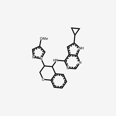 COc1cnn(C2COc3ccccc3C2Nc2ncnc3[nH]c(C4CC4)cc23)c1